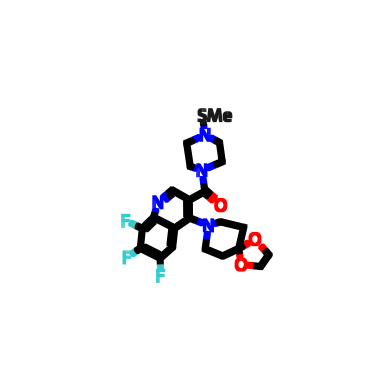 CSN1CCN(C(=O)c2cnc3c(F)c(F)c(F)cc3c2N2CCC3(CC2)OCCO3)CC1